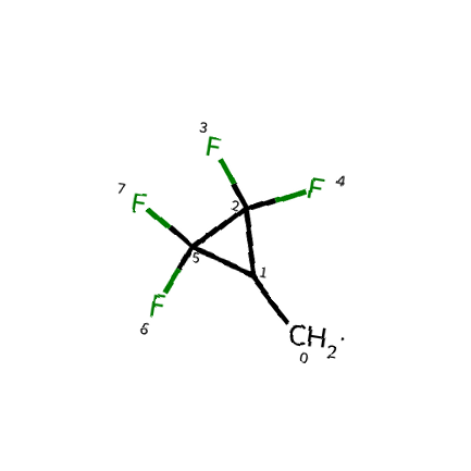 [CH2]C1C(F)(F)C1(F)F